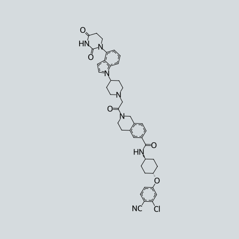 N#Cc1ccc(O[C@H]2CC[C@H](NC(=O)c3ccc4c(c3)CCN(C(=O)CN3CCC(n5ccc6c(N7CCC(=O)NC7=O)cccc65)CC3)C4)CC2)cc1Cl